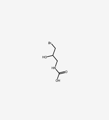 O=C(O)NCC(O)CBr